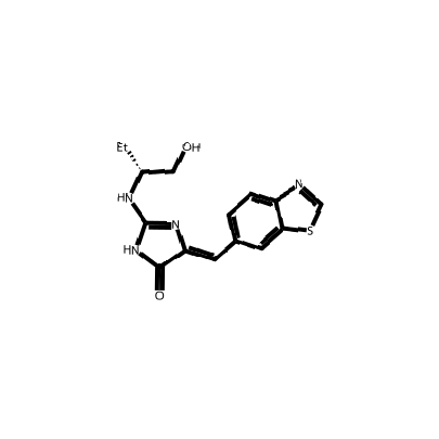 CC[C@H](CO)NC1=N/C(=C\c2ccc3ncsc3c2)C(=O)N1